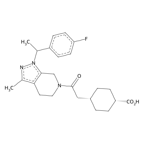 Cc1nn(C(C)c2ccc(F)cc2)c2c1CCN(C(=O)C[C@H]1CC[C@@H](C(=O)O)CC1)C2